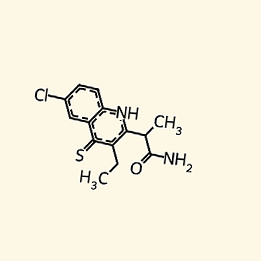 CCc1c(C(C)C(N)=O)[nH]c2ccc(Cl)cc2c1=S